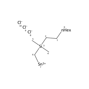 CCCCCCCC[Si](C)(C)[CH2][Sn+3].[Cl-].[Cl-].[Cl-]